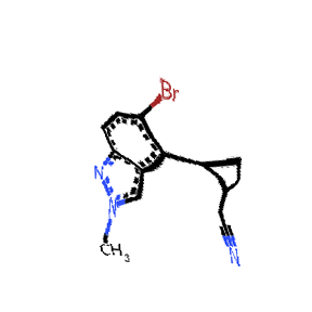 Cn1cc2c(C3CC3C#N)c(Br)ccc2n1